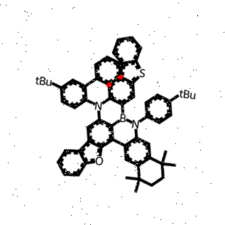 CC(C)(C)c1ccc(N2B3c4cc5sc6ccccc6c5cc4N(c4ccc(C(C)(C)C)cc4-c4ccccc4)c4cc5c(oc6ccccc65)c(c43)-c3cc4c(cc32)C(C)(C)CCC4(C)C)cc1